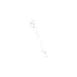 CC(C)(C)OC(=O)NCCOCCOCCOCCOCC(=O)ON1C(=O)CCC1=O